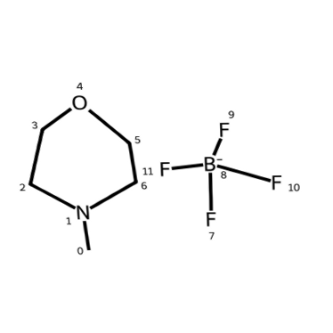 CN1CCOCC1.F[B-](F)(F)F